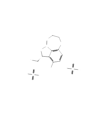 NC[C@H]1OB2OCCOc3ccc(Cl)c1c32.O.O=S(=O)(O)O.O=S(=O)(O)O